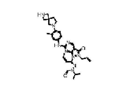 C=CCn1c(=O)c2cnc(Nc3ccc(N4CCC5(CNC5)C4)c(C)c3)nc2n1C(/C=C\C)=N/N(C=O)C(C)C